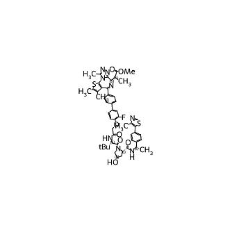 COC(=O)[C@@H](C)[C@@H]1N=C(c2ccc(-c3ccc(OCC(=O)N[C@H](C(=O)N4C[C@H](O)C[C@H]4C(=O)N[C@@H](C)c4ccc(-c5scnc5C)cc4)C(C)(C)C)c(F)c3)cc2)c2c(sc(C)c2C)-n2c(C)nnc21